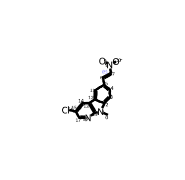 Cn1c2ccc(/C=C/[N+](=O)[O-])cc2c2cc(Cl)cnc21